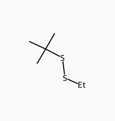 CCSSC(C)(C)C